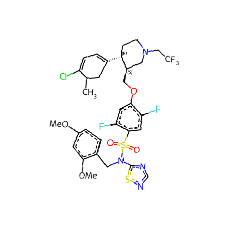 COc1ccc(CN(c2ncns2)S(=O)(=O)c2cc(F)c(OC[C@@H]3CN(CC(F)(F)F)CC[C@H]3C3=CC=C(Cl)C(C)C3)cc2F)c(OC)c1